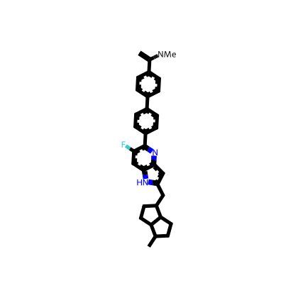 C=C(NC)c1ccc(-c2ccc(-c3nc4cc(CC5CCC6C(C)CCC56)[nH]c4cc3F)cc2)cc1